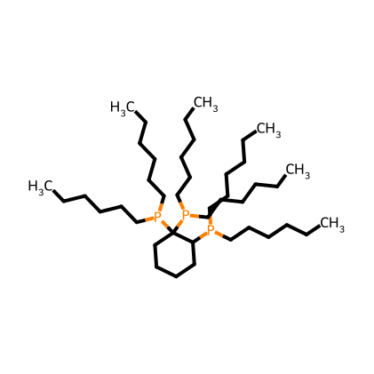 CCCCCCP(CCCCCC)C1CCCCC1(P(CCCCCC)CCCCCC)P(CCCCCC)CCCCCC